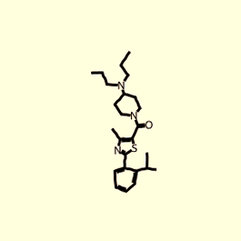 CCCN(CCC)C1CCN(C(=O)c2sc(-c3ccccc3C(C)C)nc2C)CC1